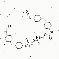 O=C=NC1CCC(CC2CCC(NC(=O)OSBP(I)SOC(=O)NC3CCC(CC4CCC(N=C=O)CC4)CC3)CC2)CC1